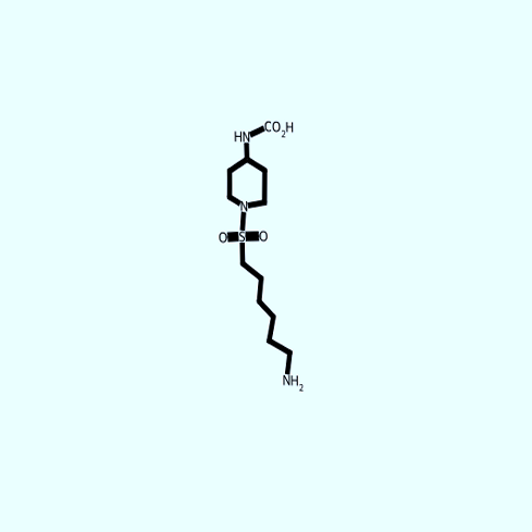 NCCCCCCS(=O)(=O)N1CCC(NC(=O)O)CC1